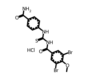 COc1c(Br)cc(C(=O)NC(=S)Nc2ccc(C(N)=O)cc2)cc1Br.Cl